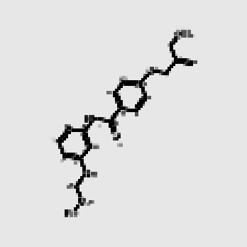 C=C(CN)COc1ccc(C(=O)Nc2cccc(OCOCC)c2)cc1